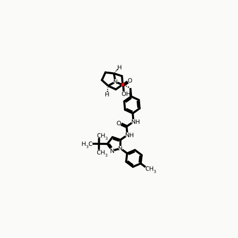 Cc1ccc(-n2nc(C(C)(C)C)cc2NC(=O)Nc2ccc(C[C@@H]3C[C@H]4CC[C@@H](C3)N4C(=O)O)cc2)cc1